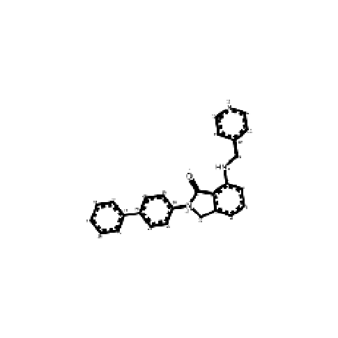 O=C1c2c(cccc2NCc2ccncc2)CN1c1ccc(-c2ccccc2)cc1